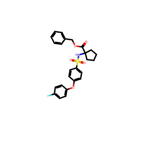 O=C(OCc1ccccc1)C1(NS(=O)(=O)c2ccc(Oc3ccc(F)cc3)cc2)CCCC1